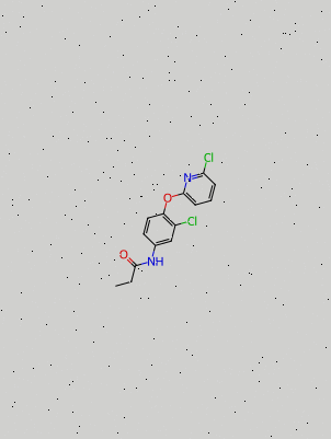 CCC(=O)Nc1ccc(Oc2cccc(Cl)n2)c(Cl)c1